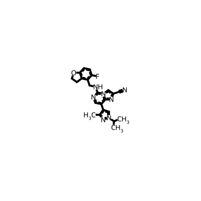 Cc1nn(C(C)C)cc1-c1cnc(NCc2c(F)ccc3c2CCO3)n2cc(C#N)nc12